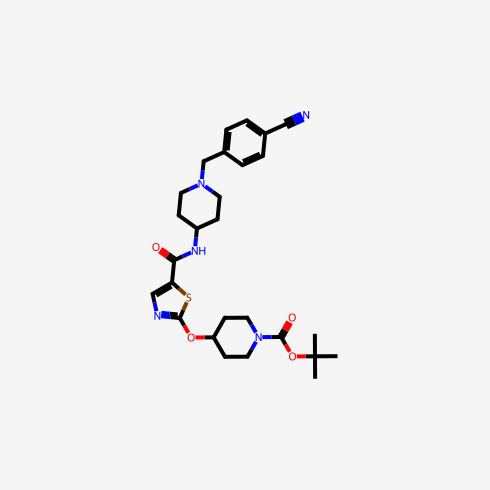 CC(C)(C)OC(=O)N1CCC(Oc2ncc(C(=O)NC3CCN(Cc4ccc(C#N)cc4)CC3)s2)CC1